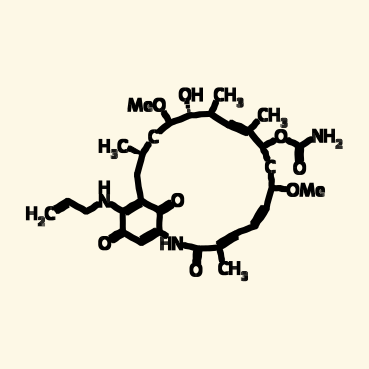 C=CCNC1=C2C[C@@H](C)CC(OC)[C@H](O)C(C)/C=C(\C)C(OC(N)=O)CC(OC)/C=C\C=C(/C)C(=O)NC(=CC1=O)C2=O